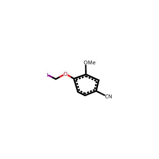 COc1cc(C#N)ccc1OCI